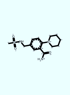 CS(=O)(=O)NCc1ccc(N2CCCCC2)c(C(N)=O)c1